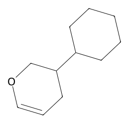 C1=COCC(C2CCCCC2)C1